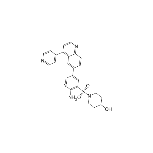 Nc1ncc(-c2ccc3nccc(-c4ccncc4)c3c2)cc1S(=O)(=O)N1CCC(O)CC1